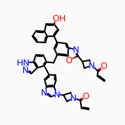 C=CC(=O)N1CC(c2nc3cc(-c4cc(O)cc5ccccc45)cc(Cc4ccc5[nH]ncc5c4-c4ccc5c(c4)ncn5C4CN(C(=O)C=C)C4)c3o2)C1